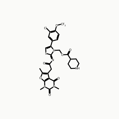 Cc1oc2c(c1CC(=O)/N=c1\scc(-c3ccc(OC(F)(F)F)c(Cl)c3)n1COC(=O)C1CCNCC1)c(=O)n(C)c(=O)n2C